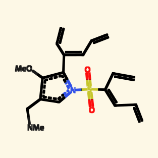 C=C/C=C(\C=C)c1c(OC)c(CNC)cn1S(=O)(=O)/C(C=C)=C/C=C